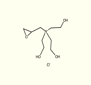 OCC[N+](CCO)(CCO)CC1CO1.[Cl-]